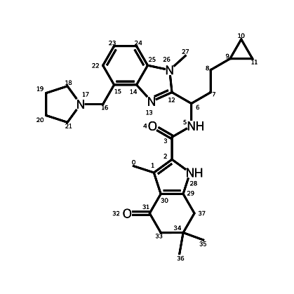 Cc1c(C(=O)NC(CCC2CC2)c2nc3c(CN4CCCC4)cccc3n2C)[nH]c2c1C(=O)CC(C)(C)C2